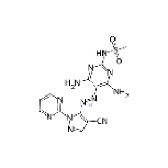 CS(=O)(=O)Nc1nc(N)c(/N=N/c2c(C#N)cnn2-c2ncccn2)c(N)n1